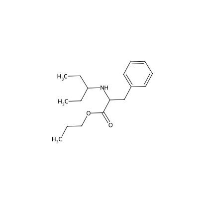 CCCOC(=O)C(Cc1ccccc1)NC(CC)CC